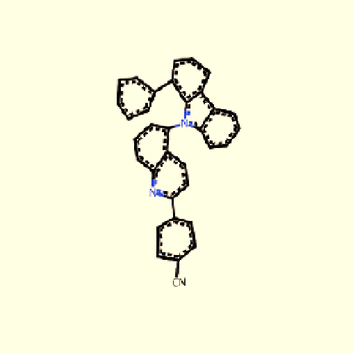 N#Cc1ccc(-c2ccc3c(-n4c5ccccc5c5cccc(-c6ccccc6)c54)cccc3n2)cc1